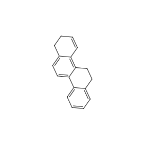 C1=Cc2c(ccc3c2CCc2ccccc2-3)CC1